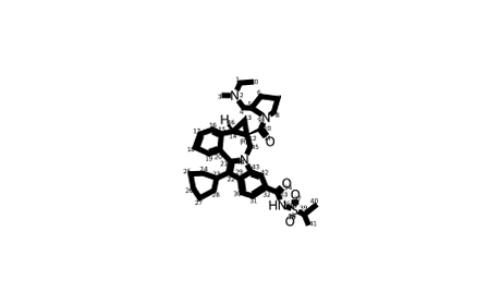 CCN(C)CC1CCCN1C(=O)[C@]12C[C@H]1c1ccccc1-c1c(C3CCCCC3)c3ccc(C(=O)NS(=O)(=O)C(C)C)cc3n1C2